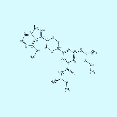 CC[C@@H](C)NC(=O)c1cc(N2CCC(c3n[nH]c4nccc(OC)c34)CC2)nc(O[C@H](C)COC)n1